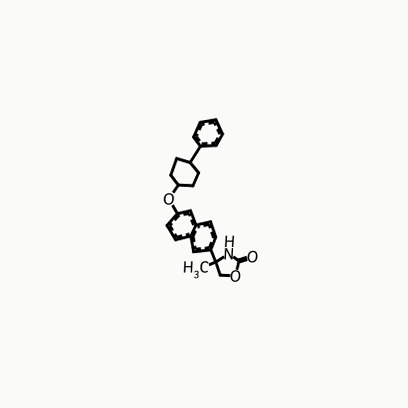 CC1(c2ccc3cc(OC4CCC(c5ccccc5)CC4)ccc3c2)COC(=O)N1